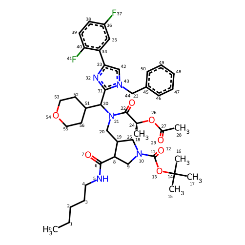 CCCCCNC(=O)C1CN(C(=O)OC(C)(C)C)CC1CN(C(=O)[C@H](C)OC(C)=O)C(c1nc(-c2cc(F)ccc2F)cn1Cc1ccccc1)C1CCOCC1